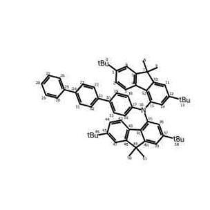 CC(C)(C)c1ccc2c(c1)C(C)(C)c1cc(C(C)(C)C)cc(N(c3ccc(-c4ccc(-c5ccccc5)cc4)cc3)c3cc(C(C)(C)C)cc4c3-c3ccc(C(C)(C)C)cc3C4(C)C)c1-2